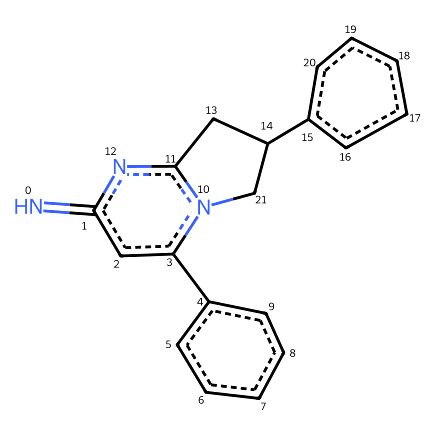 N=c1cc(-c2ccccc2)n2c(n1)CC(c1ccccc1)C2